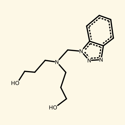 OCCCN(CCCO)Cn1nnc2ccccc21